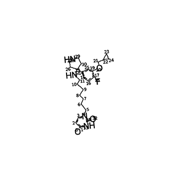 O=c1ccn(CCCCCCCNC2(c3ccc(F)c(OCC4CC4)c3)CCNCC2)c(=O)[nH]1